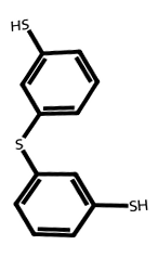 Sc1cccc(Sc2cccc(S)c2)c1